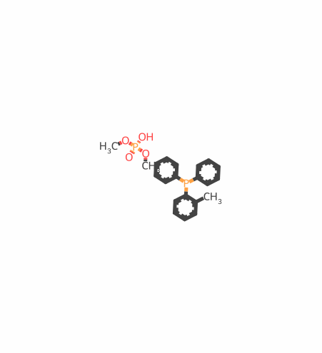 COP(=O)(O)OC.Cc1ccccc1P(c1ccccc1)c1ccccc1